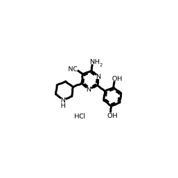 Cl.N#Cc1c(N)nc(-c2cc(O)ccc2O)nc1C1CCCNC1